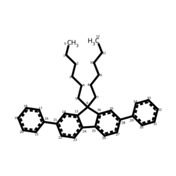 CCCCCCC1(CCCCCC)c2cc(-c3ccccc3)ccc2-c2ccc(-c3ccccc3)cc21